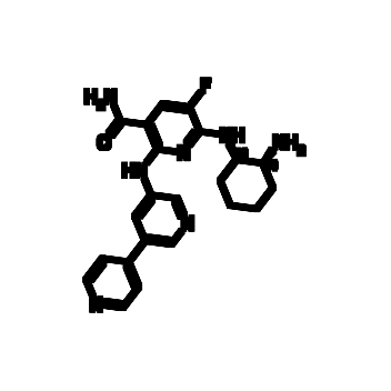 NC(=O)c1cc(F)c(N[C@@H]2CCCC[C@@H]2N)nc1Nc1cncc(-c2ccncc2)c1